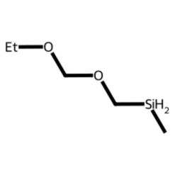 CCOCOC[SiH2]C